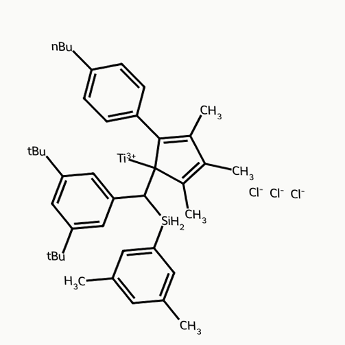 CCCCc1ccc(C2=C(C)C(C)=C(C)[C]2([Ti+3])C([SiH2]c2cc(C)cc(C)c2)c2cc(C(C)(C)C)cc(C(C)(C)C)c2)cc1.[Cl-].[Cl-].[Cl-]